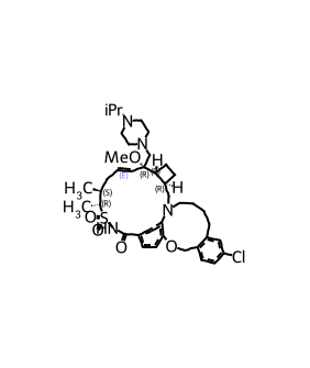 CO[C@@]1(CN2CCN(C(C)C)CC2)/C=C/C[C@H](C)[C@@H](C)S(=O)(=O)NC(=O)c2ccc3c(c2)N(CCCCc2cc(Cl)ccc2CO3)C[C@@H]2CC[C@H]21